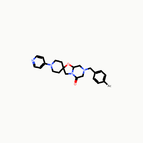 CC(=O)c1ccc(CN2CC(=O)N3CC4(CCN(c5ccncc5)CC4)OC3C2)cc1